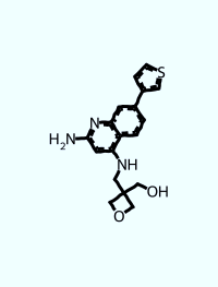 Nc1cc(NCC2(CO)COC2)c2ccc(-c3ccsc3)cc2n1